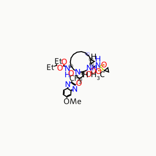 CCC(CC)OC(=O)N[C@H]1CCCCC/C=C\[C@@H]2C[C@@]2(C(=O)NS(=O)(=O)C2(C)CC2)NC(=O)[C@@H]2C[C@@H](Oc3nc4cc(OC)ccc4nc3C(F)(F)F)CN2C1=O